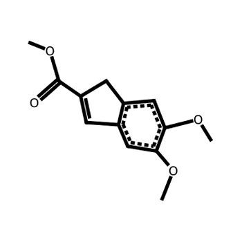 COC(=O)C1=Cc2cc(OC)c(OC)cc2C1